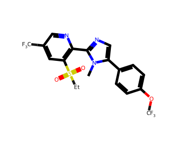 CCS(=O)(=O)c1cc(C(F)(F)F)cnc1-c1ncc(-c2ccc(OC(F)(F)F)cc2)n1C